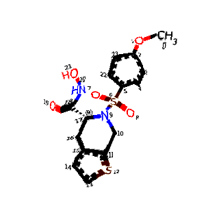 COc1ccc(S(=O)(=O)N2Cc3sccc3C[C@@H]2C(=O)NO)cc1